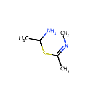 C/N=C(/C)SC(C)N